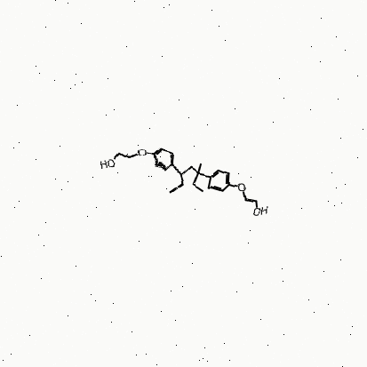 CCC(CC(C)(CC)c1ccc(OCCO)cc1)c1ccc(OCCO)cc1